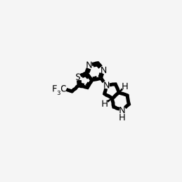 FC(F)(F)Cc1cc2c(N3C[C@H]4CNCC[C@H]4C3)ncnc2s1